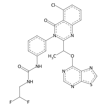 CC(Oc1ncnc2scnc12)c1nc2cccc(Cl)c2c(=O)n1-c1cccc(NC(=O)NCC(F)F)c1